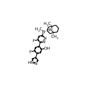 CN(c1cc(F)c(-c2cc(F)c(-c3cn[nH]c3)cc2O)nn1)[C@H]1C[C@]2(C)CCC[C@](C)(C1)N2